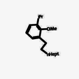 CCCCCCCCCc1cccc(C(C)C)c1OC